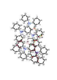 CB1c2ccccc2N(c2ccccc2)c2cc(N(c3ccccc3)c3ccccc3)cc(N(c3ccccc3F)C(C)[C@@H](C)B3c4ccccc4N(c4c(-c5ccccc5)cccc4-c4ccccc4)c4cc(N(c5ccccc5)c5c(-c6ccccc6)cccc5-c5ccccc5)cc(SCCF)c43)c21